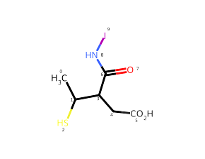 CC(S)C(CC(=O)O)C(=O)NI